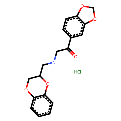 Cl.O=C(CNCC1COc2ccccc2O1)c1ccc2c(c1)OCO2